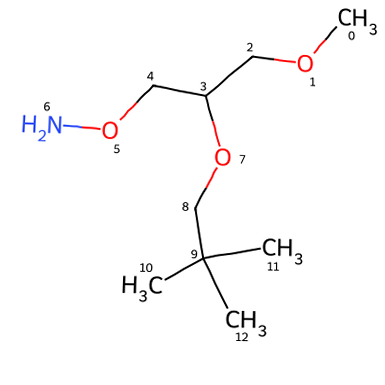 COCC(CON)OCC(C)(C)C